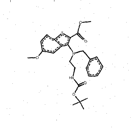 COC(=O)c1sc2ccc(OC)cc2c1N(CCNC(=O)OC(C)(C)C)Cc1ccccc1